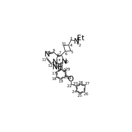 CCN(C)CC1CC(C2=C3C=NC=C[N+]3(N)C(c3cccc(OCc4ccccc4)c3)=N2)C1